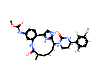 COC(=O)Nc1ccc2c(c1)NC(=O)C(C)CCCC(N1CCC(c3c(Cl)ccc(Cl)c3F)NC1=O)c1nc-2c[nH]1